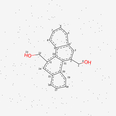 OCc1cc2ccccc2c2c(CO)cc3ccccc3c12